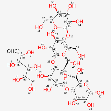 O=C[C@H](O)[C@@H](O)[C@H](O)[C@H](O)CO.OC[C@H]1O[C@H](O[C@H]2[C@H](O)[C@@H](O)[C@@H](O[C@H]3[C@H](O)[C@@H](O)[C@@H](O[C@H]4[C@H](O)[C@@H](O)[C@@H](O)O[C@@H]4CO)O[C@@H]3CO)O[C@@H]2CO)[C@H](O)[C@@H](O)[C@@H]1O